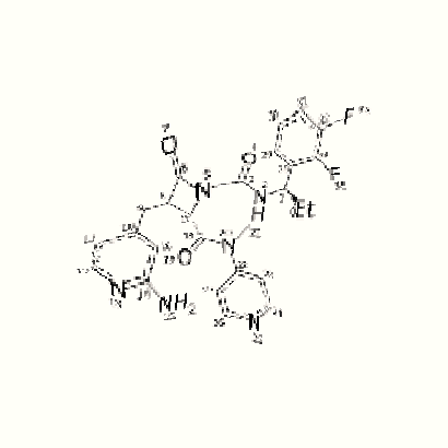 CC[C@@H](NC(=O)N1C(=O)C(Cc2ccnc(N)c2)[C@H]1C(=O)N(C)c1ccncc1)c1cccc(F)c1F